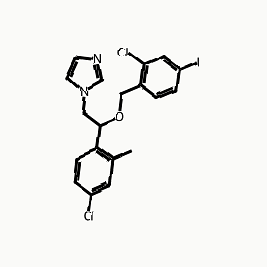 Cc1cc(Cl)ccc1C(Cn1ccnc1)OCc1ccc(I)cc1Cl